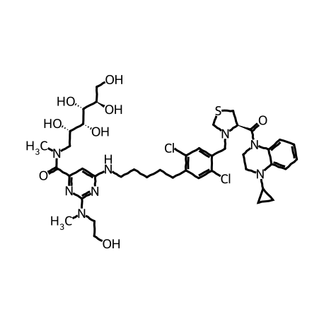 CN(C[C@H](O)[C@@H](O)[C@H](O)[C@H](O)CO)C(=O)c1cc(NCCCCCc2cc(Cl)c(CN3CSC[C@H]3C(=O)N3CCN(C4CC4)c4ccccc43)cc2Cl)nc(N(C)CCO)n1